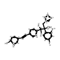 OC(Cn1cnnn1)(c1ccc(F)cc1F)C(F)(F)c1ccc(C#Cc2ccc(F)nc2)cn1